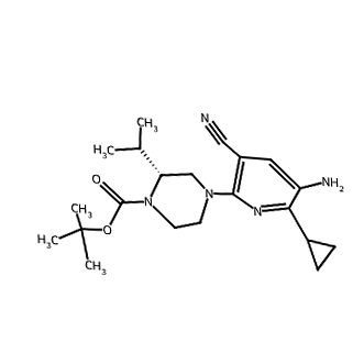 CC(C)[C@@H]1CN(c2nc(C3CC3)c(N)cc2C#N)CCN1C(=O)OC(C)(C)C